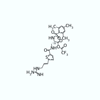 Cc1cc(C)c(S(=O)(=O)N[C@@H](CNC(=O)c2ccc(C=CCNC(=N)N)s2)C(=O)OC(=O)C(F)(F)F)c(C)c1